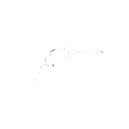 CCCCCC(C(O)C/C=C\CC(O)C(CCCCCCC=O)[N+](=O)[O-])[N+](=O)[O-]